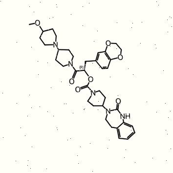 COC1CCN(C2CCN(C(=O)[C@@H](Cc3ccc4c(c3)OCCO4)OC(=O)N3CCC(N4CCc5ccccc5NC4=O)CC3)CC2)CC1